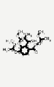 CCC([SiH3])c1c(C(=O)OOC(C)OC)ccc(OC(C)OC)c1OC(C)OC